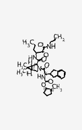 C=CCNC(=O)C(=O)C(CCC)NC(=O)[C@@H]1[C@@H]2[C@H](CN1C(=O)[C@@H](NC(=O)O[C@H]1CCC[C@@H]1C)C1Cc3ccccc3C1)C2(C)C